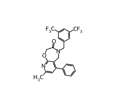 Cc1cc(-c2ccccc2)c2c(n1)OCC(=O)N(Cc1cc(C(F)(F)F)cc(C(F)(F)F)c1)C2